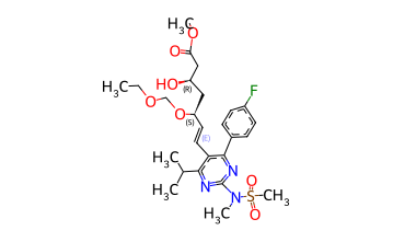 CCOCO[C@H](/C=C/c1c(-c2ccc(F)cc2)nc(N(C)S(C)(=O)=O)nc1C(C)C)C[C@@H](O)CC(=O)OC